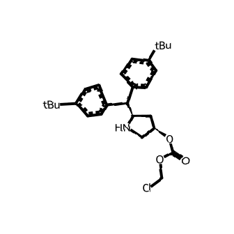 CC(C)(C)c1ccc(C(c2ccc(C(C)(C)C)cc2)[C@H]2C[C@@H](OC(=O)OCCl)CN2)cc1